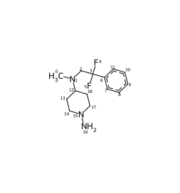 CN(CC(F)(F)c1ccccc1)C1CCN(N)CC1